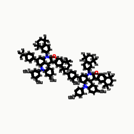 CC(C)(C)c1ccc(N2c3ccc(C(C)(C)C)cc3B3c4c2cc(-c2ccc(CC5(C)CCC(C)(C)c6cc7oc8c(c7cc65)B5c6ccc(C(C)(C)C)cc6N(c6cc(C(C)(C)C)cc(C(C)(C)C)c6)c6cc(-c7ccc([Si](C)(C)C)cc7)cc(c65)N8c5ccc6c(c5)C(C)(C)CCC6(C)C)cc2C(C)(C)C)cc4N(c2ccc4c(c2)C(C)(C)CCC4(C)C)c2oc4cc5c(cc4c23)C(C)(C)CCC5(C)C)cc1